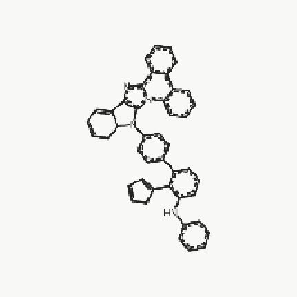 C1=CCC(c2c(Nc3ccccc3)cccc2-c2ccc(N3c4c(nc5c6ccccc6c6ccccc6n45)C4=CC=CCC43)cc2)=C1